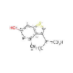 CC(C(=O)O)c1csc2cc(O)cc(C#N)c12